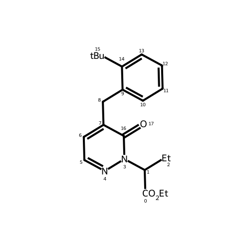 CCOC(=O)C(CC)n1nccc(Cc2ccccc2C(C)(C)C)c1=O